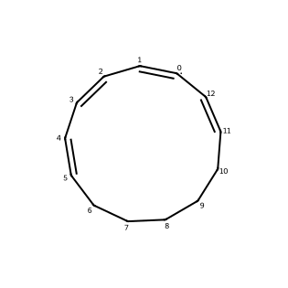 [C]1=CC=CC=CCCCCCC=C1